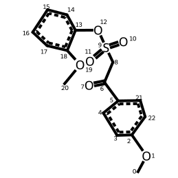 COc1ccc(C(=O)CS(=O)(=O)Oc2ccccc2OC)cc1